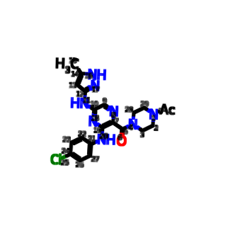 CC(=O)N1CCN(C(=O)c2ncc(Nc3cc(C)[nH]n3)nc2Nc2ccc(Cl)cc2)CC1